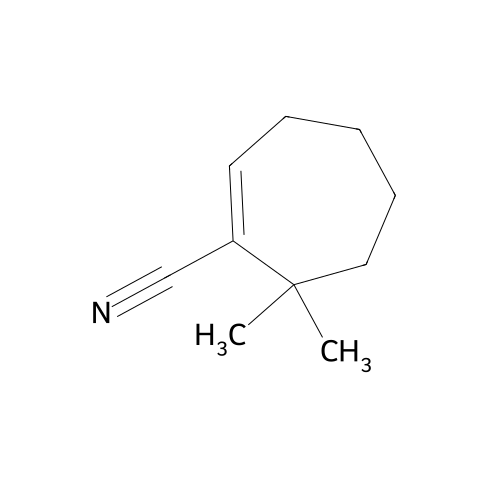 CC1(C)CCCCC=C1C#N